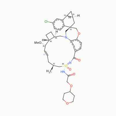 CO[C@H]1/C=C/C[C@H](C)C[S@@](=O)(NC(=O)COC2CCOCC2)=NC(=O)c2ccc3c(c2)N(C[C@@H]2CC[C@H]21)C[C@]1(CO3)C[C@@H]2C[C@@H]2c2cc(Cl)ccc21